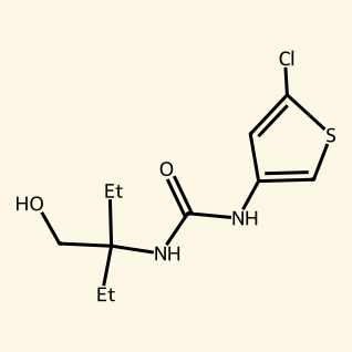 CCC(CC)(CO)NC(=O)Nc1csc(Cl)c1